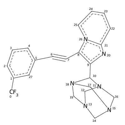 FC(F)(F)c1cccc(C#Cc2c(C3N4CN5CN(C4)CN3C5)nc3ccccn23)c1